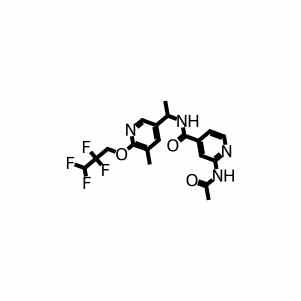 CC(=O)Nc1cc(C(=O)NC(C)c2cnc(OCC(F)(F)C(F)F)c(C)c2)ccn1